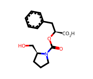 O=C(O)[C@H](Cc1ccccc1)OC(=O)N1CCC[C@H]1CO